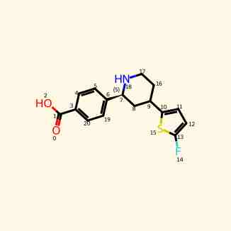 O=C(O)c1ccc([C@@H]2CC(c3ccc(F)s3)CCN2)cc1